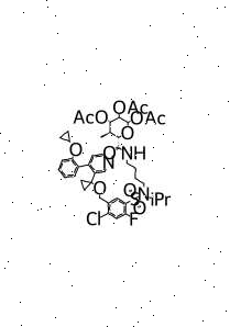 CC(=O)OC1O[C@H](C(=O)NCCCCN(C(C)C)S(=O)(=O)c2cc(COC3(c4cnccc4-c4ccccc4OC4CC4)CC3)c(Cl)cc2F)[C@@H](C)[C@H](OC(C)=O)[C@H]1OC(C)=O